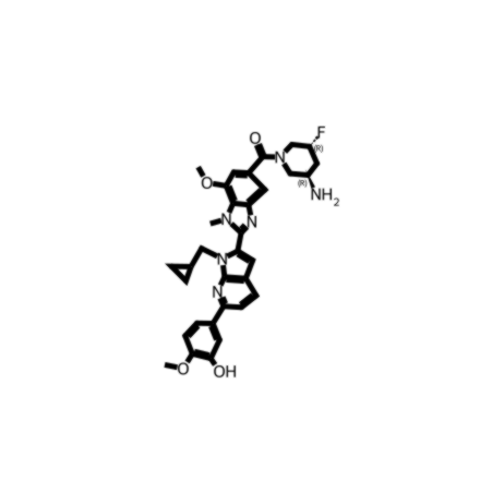 COc1ccc(-c2ccc3cc(-c4nc5cc(C(=O)N6C[C@H](N)C[C@@H](F)C6)cc(OC)c5n4C)n(CC4CC4)c3n2)cc1O